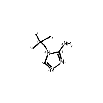 CC(C)(C)n1cnnc1N